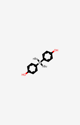 CCC[CH2][Sn]([CH2]CCC)([c]1ccc(O)cc1)[c]1ccc(O)cc1